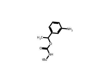 CC(OC(=O)NC(C)(C)C)c1cccc(N)c1